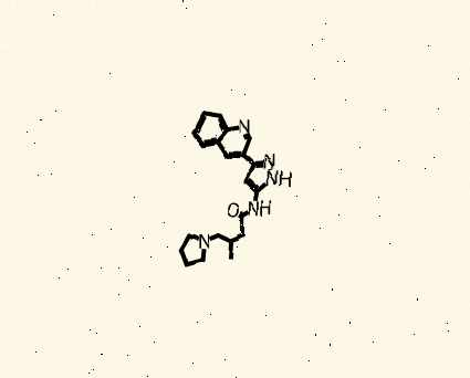 CC(CC(=O)Nc1cc(-c2cnc3ccccc3c2)n[nH]1)CN1CCCC1